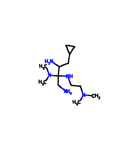 CN(C)CCNC(CN)(C(N)CC1CC1)N(C)C